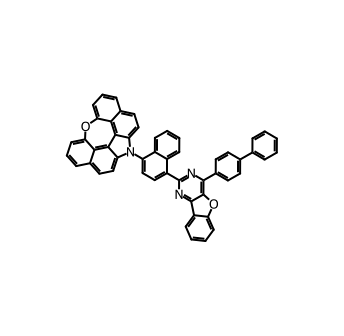 c1ccc(-c2ccc(-c3nc(-c4ccc(-n5c6ccc7cccc8oc9cccc%10ccc5c(c%109)c6c78)c5ccccc45)nc4c3oc3ccccc34)cc2)cc1